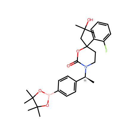 C[C@@H](c1ccc(B2OC(C)(C)C(C)(C)O2)cc1)N1CCC(CC(C)(C)O)(c2ccccc2F)OC1=O